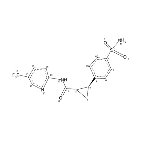 NS(=O)(=O)c1ccc([C@H]2C[C@@H]2C(=O)Nc2ccc(C(F)(F)F)cn2)cc1